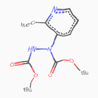 COc1ncccc1N(NC(=O)OC(C)(C)C)C(=O)OC(C)(C)C